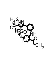 CCC(=O)c1cnc(N=O)cc1Nc1cccc(-c2cc(P(C)(C)=O)n(C)n2)c1OC